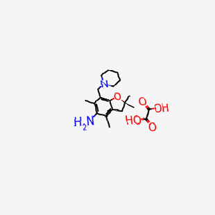 Cc1c(N)c(C)c2c(c1CN1CCCCC1)OC(C)(C)C2.O=C(O)C(=O)O